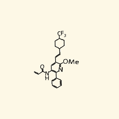 C=CC(=O)Nc1cc(/C=C/C2CCC(C(F)(F)F)CC2)c(OC)nc1-c1ccccc1